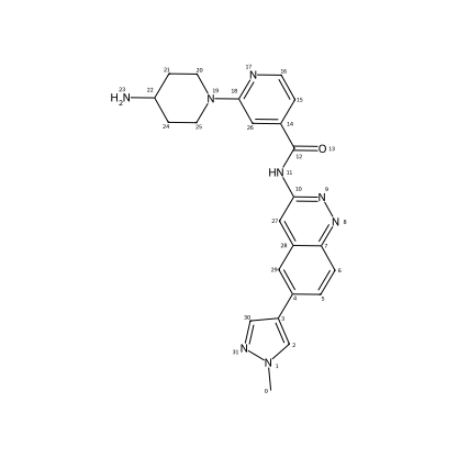 Cn1cc(-c2ccc3nnc(NC(=O)c4ccnc(N5CCC(N)CC5)c4)cc3c2)cn1